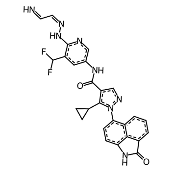 N=C/C=N\Nc1ncc(NC(=O)c2cnn(-c3ccc4c5c(cccc35)C(=O)N4)c2C2CC2)cc1C(F)F